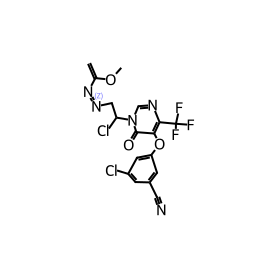 C=C(/N=N\CC(Cl)n1cnc(C(F)(F)F)c(Oc2cc(Cl)cc(C#N)c2)c1=O)OC